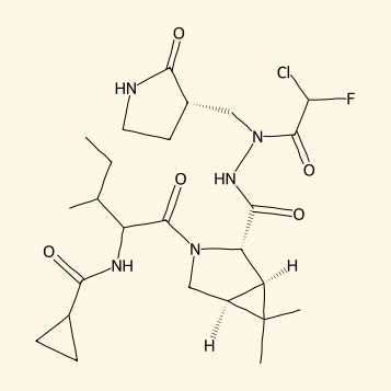 CCC(C)C(NC(=O)C1CC1)C(=O)N1C[C@H]2[C@@H]([C@H]1C(=O)NN(C[C@@H]1CCNC1=O)C(=O)C(F)Cl)C2(C)C